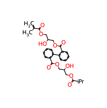 C=C(C)C(=O)OCC(O)COC(=O)c1ccccc1-c1ccccc1C(=O)OCC(O)COC(=O)C(C)C